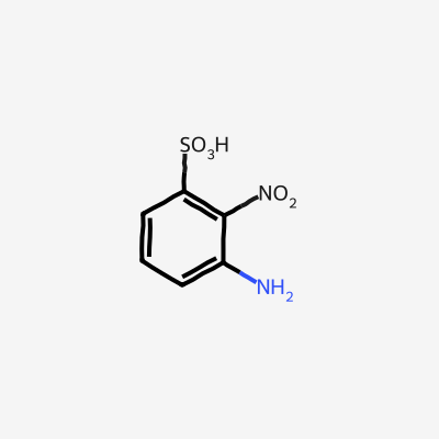 Nc1cccc(S(=O)(=O)O)c1[N+](=O)[O-]